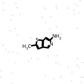 Cc1cc2cnc(N)cc2s1